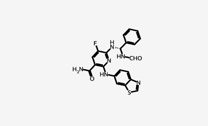 NC(=O)c1cc(F)c(N[C@@H](NC=O)c2ccccc2)nc1Nc1ccc2ncsc2c1